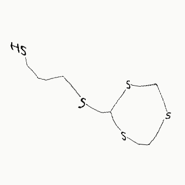 SCCSC1SCSCS1